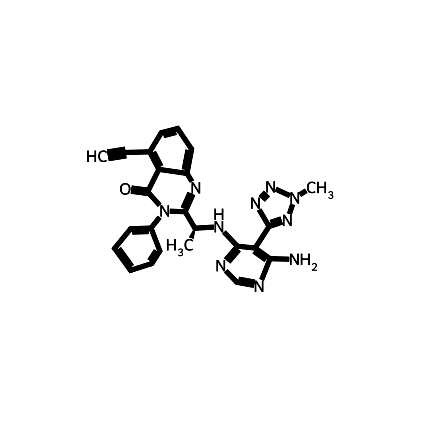 C#Cc1cccc2nc([C@H](C)Nc3ncnc(N)c3-c3nnn(C)n3)n(-c3ccccc3)c(=O)c12